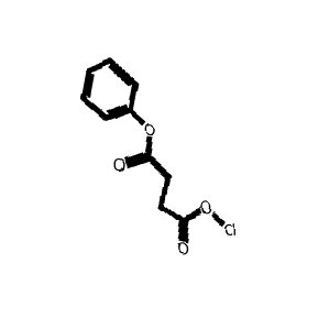 O=C(CCC(=O)Oc1ccccc1)OCl